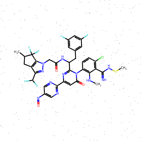 CNc1c(-n2c(C(Cc3cc(F)cc(F)c3)NC(=O)Cn3nc(C(F)F)c4c3C(F)(F)C(C)C4)nc(-c3ncc(N=O)cn3)cc2=O)ccc(Cl)c1C(=N)NSC